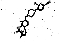 Cc1cnn2c1c(=O)[nH]c1c(F)c(CN3CCN(c4ccc(C#N)nc4F)CC3)ccc12